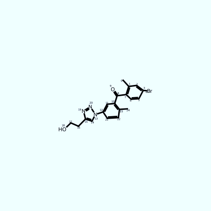 Cc1cc(Br)ccc1C(=O)c1cc(-n2cc(CCO)nn2)ccc1C